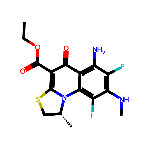 CCOC(=O)c1c2n(c3c(F)c(NC)c(F)c(N)c3c1=O)[C@H](C)CS2